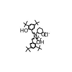 CC(C)(C)c1cc(C=[N+]([Cr])[N+](=Cc2cc(C(C)(C)C)cc(C(C)(C)C)c2O)C2CCCCC2)c(O)c(C(C)(C)C)c1.[Cl-].[Cl-]